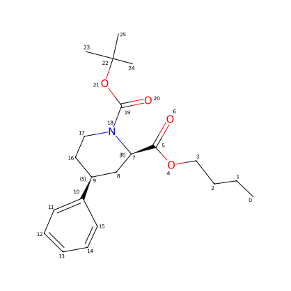 CCCCOC(=O)[C@H]1C[C@@H](c2ccccc2)CCN1C(=O)OC(C)(C)C